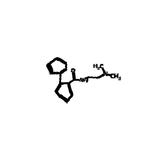 CN(C)CCNC(=O)c1c[c]ccc1-c1ccccc1